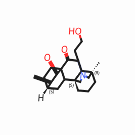 C=C1C(=O)C23CC[C@H]1CC2[C@@]12CCC[C@@](C)(CN(CCO)C1)C2CC3=O